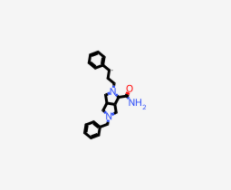 NC(=O)C1C2CN(Cc3ccccc3)CC2CN1CC[CH]c1ccccc1